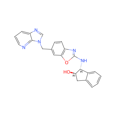 O[C@@H]1Cc2ccccc2[C@H]1Nc1nc2ccc(Cn3cnc4cccnc43)cc2o1